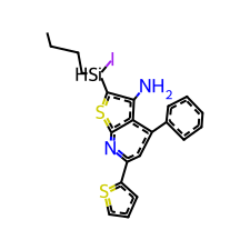 CCCC[SiH](I)c1sc2nc(-c3cccs3)cc(-c3ccccc3)c2c1N